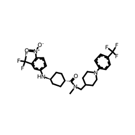 CN(CC1CCN(c2ccc(C(F)(F)F)cc2)CC1)C(=O)[C@H]1CC[C@H](Nc2ccc([N+](=O)[O-])c(C(F)(F)F)c2)CC1